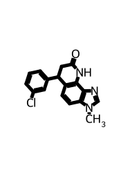 Cn1cnc2c3c(ccc21)C(c1cccc(Cl)c1)CC(=O)N3